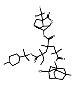 CCC(C)(CC(C)(CC(C)(C)C(=O)OC12CC3CC(C)(CC(O)(C3)C1)C2)C(=O)OC1C2CC3C1OC(=O)C3(C(F)(F)F)C2)C(=O)OC(C)(C)C1CCC(C)CC1